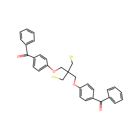 O=C(c1ccccc1)c1ccc(OCC(CS)(CS)COc2ccc(C(=O)c3ccccc3)cc2)cc1